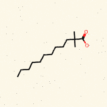 CCCCCCCCCCC(C)(C)C([O])=O